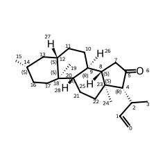 C=CC(C)[C@H]1C(=O)C[C@H]2[C@@H]3CC[C@H]4C[C@@H](C)CC[C@]4(C)[C@H]3CC[C@]12C